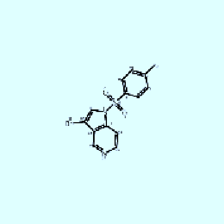 Cc1ccc(S(=O)(=O)n2cc(Br)c3cnccc32)cc1